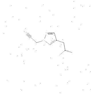 CC(C)Cc1cnn(CC#N)c1